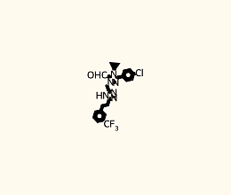 O=CC1N(Cc2nnc(CCc3cccc(C(F)(F)F)c3)[nH]2)N=C(c2ccc(Cl)cc2)N1C1CC1